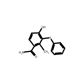 Cc1c(C(N)=O)ccc(O)c1Sc1ccccc1